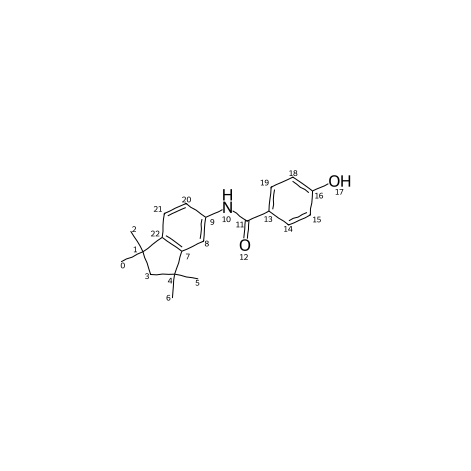 CC1(C)CC(C)(C)c2cc(NC(=O)c3ccc(O)cc3)ccc21